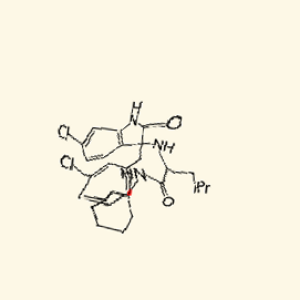 CC(C)CC(NC1(Cc2cccc(Cl)c2)C(=O)Nc2cc(Cl)ccc21)C(=O)NC1CCCCC1